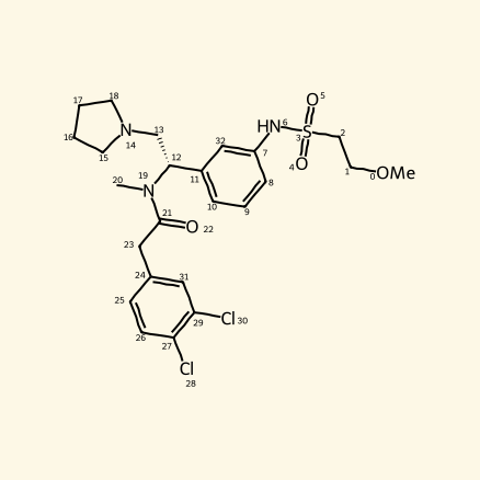 COCCS(=O)(=O)Nc1cccc([C@@H](CN2CCCC2)N(C)C(=O)Cc2ccc(Cl)c(Cl)c2)c1